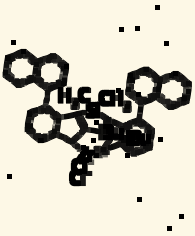 CCC(C)C1=C2c3c(-c4cccc5ccccc45)cccc3[CH]1[Zr+2][CH]1C(C(C)CC)=C(c3c(-c4cccc5ccccc45)cccc31)[Si]2(C)C.[Cl-].[Cl-]